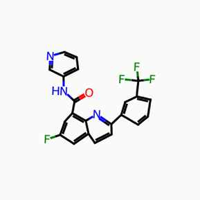 O=C(Nc1cccnc1)c1cc(F)cc2ccc(-c3cccc(C(F)(F)F)c3)nc12